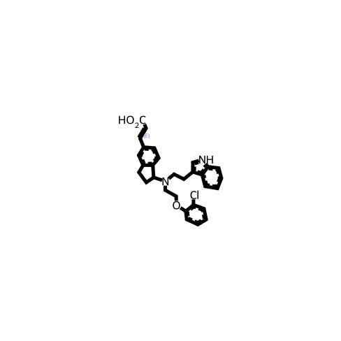 O=C(O)/C=C/c1ccc2c(c1)CCC2N(CCOc1ccccc1Cl)CCc1c[nH]c2ccccc12